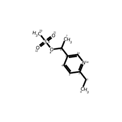 CCc1ccc(C(C)OS(C)(=O)=O)cn1